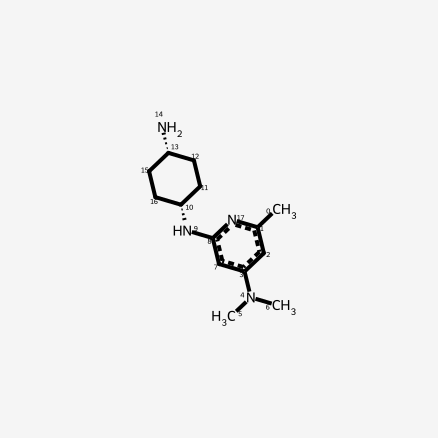 Cc1cc(N(C)C)cc(N[C@H]2CC[C@@H](N)CC2)n1